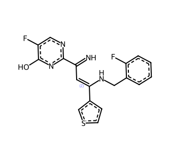 N=C(/C=C(\NCc1ccccc1F)c1ccsc1)c1ncc(F)c(O)n1